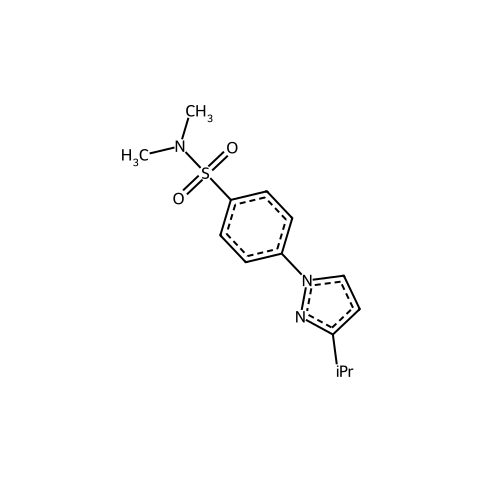 CC(C)c1ccn(-c2ccc(S(=O)(=O)N(C)C)cc2)n1